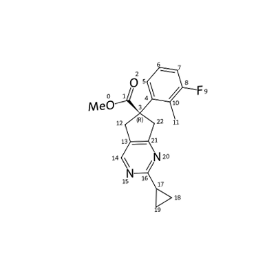 COC(=O)[C@]1(c2cccc(F)c2C)Cc2cnc(C3CC3)nc2C1